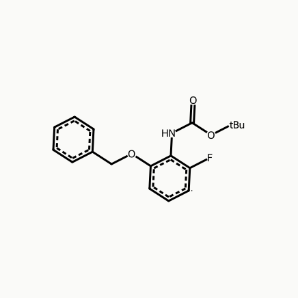 CC(C)(C)OC(=O)Nc1c(F)[c]ccc1OCc1ccccc1